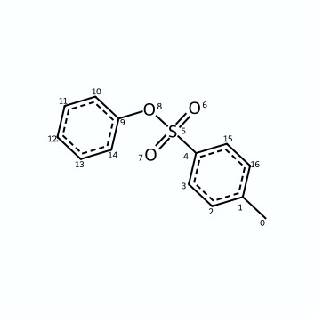 Cc1ccc(S(=O)(=O)Oc2cc[c]cc2)cc1